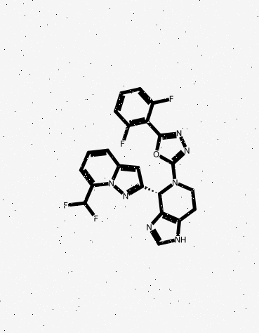 Fc1cccc(F)c1-c1nnc(N2CCc3[nH]cnc3[C@@H]2c2cc3cccc(C(F)F)n3n2)o1